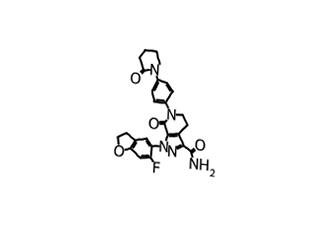 NC(=O)c1nn(-c2cc3c(cc2F)OCC3)c2c1CCN(c1ccc(N3CCCCC3=O)cc1)C2=O